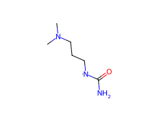 CN(C)CCC[N]C(N)=O